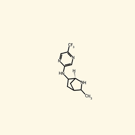 CC1N[C@H]2CC1CC2Nc1cnc(C(F)(F)F)cn1